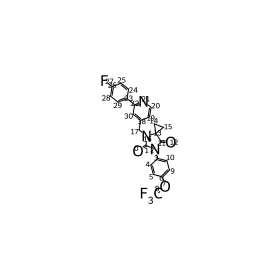 O=C1N(c2ccc(OC(F)(F)F)cc2)C(=O)C2(CC2)N1Cc1ccnc(-c2ccc(F)cc2)c1